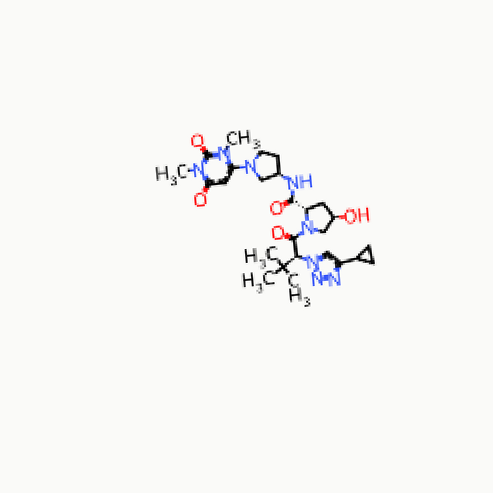 Cn1c(N2CC[C@@H](NC(=O)[C@@H]3C[C@@H](O)CN3C(=O)[C@@H](n3cc(C4CC4)nn3)C(C)(C)C)C2)cc(=O)n(C)c1=O